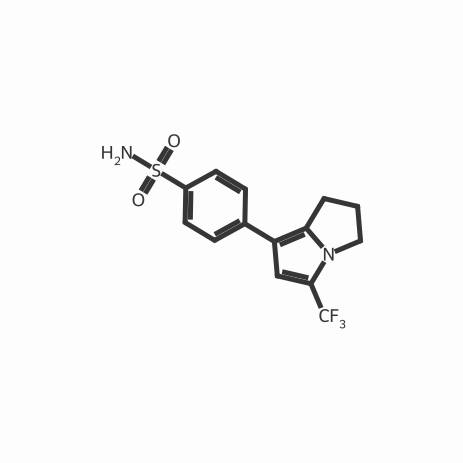 NS(=O)(=O)c1ccc(-c2cc(C(F)(F)F)n3c2CCC3)cc1